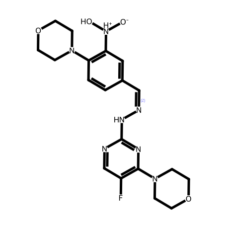 [O-][NH+](O)c1cc(/C=N\Nc2ncc(F)c(N3CCOCC3)n2)ccc1N1CCOCC1